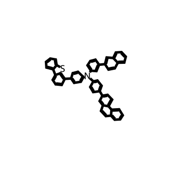 c1cc(-c2ccc3ccccc3c2)cc(N(c2ccc(-c3ccc4c(ccc5ccccc54)c3)cc2)c2ccc(-c3cccc4c3sc3ccccc34)cc2)c1